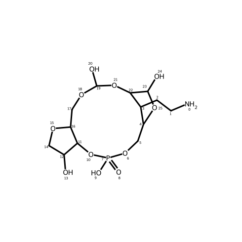 NCCC1C2COP(=O)(O)OC3C(O)COC3COC(O)OC1C(O)O2